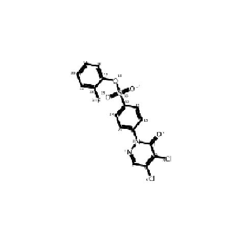 O=c1c(Cl)c(Cl)cnn1-c1ccc(S(=O)(=O)Oc2ccccc2F)cc1